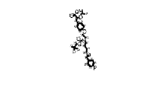 CCOC(Cc1ccc(OCCN(CCCCOCc2ccc(F)cc2)C(=O)OCC(C)(C)C)cc1)C(=O)O